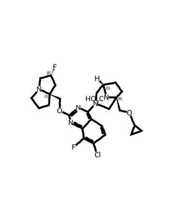 O=C(O)N1[C@H]2CC[C@]1(COC1CC1)CN(c1nc(OC[C@@]34CCCN3C[C@H](F)C4)nc3c(F)c(Cl)ccc13)C2